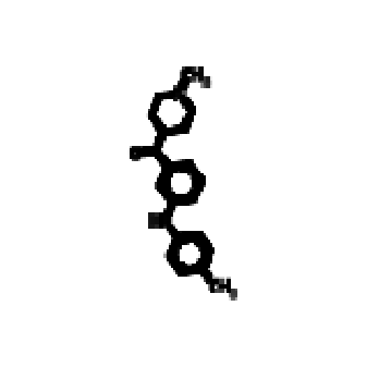 Cc1ccc(Nc2cccc(C(=O)C3CCN(C)CC3)c2)cc1